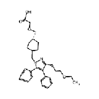 CCOCCSc1nn(C[C@H]2CC[C@H](COCC(=O)O)CC2)c(-c2ccccc2)c1-c1ccccc1